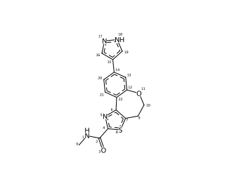 CNC(=O)c1nc2c(s1)CCOc1cc(-c3cn[nH]c3)ccc1-2